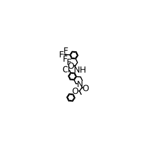 CC(Oc1ccccc1)C(=O)N1CCc2c(ccc(Cl)c2NC(=O)Cc2cccc(C(F)(F)F)c2F)C1